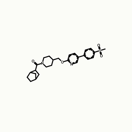 CS(=O)(=O)c1ccc(-c2ccc(OCC3CCN(C(=O)C4CC5CCC4C5)CC3)nc2)cc1